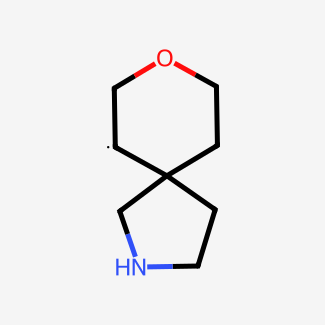 [CH]1COCCC12CCNC2